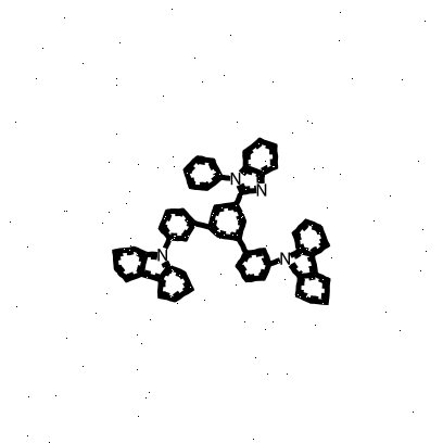 c1ccc(-n2c(-c3cc(-c4cccc(-n5c6ccccc6c6ccccc65)c4)cc(-c4cccc(-n5c6ccccc6c6ccccc65)c4)c3)nc3ccccc32)cc1